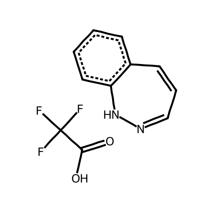 C1=Cc2ccccc2NN=C1.O=C(O)C(F)(F)F